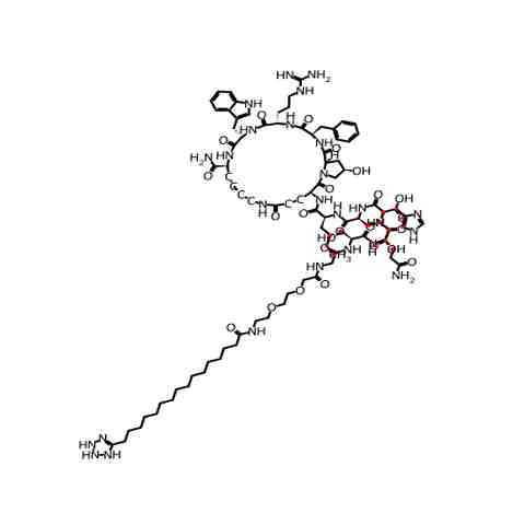 CCCC[C@H](NC(=O)[C@H](CN(CC(=O)O)CC(=O)O)NC(=O)[C@H](Cc1c[nH]cn1)NC(=O)[C@H](CCC(N)=O)NC(=O)[C@H](CO)NC(=O)CNC(=O)COCCOCCNC(=O)CCCCCCCCCCCCCCCC1=NNNN1)C(=O)N[C@H]1CCC(=O)NCCCC[C@@H](C(N)=O)NC(=O)[C@H](Cc2c[nH]c3ccccc23)NC(=O)[C@H](CCCNC(=N)N)NC(=O)[C@@H](Cc2ccccc2)NC(=O)[C@@H]2C[C@@H](O)CN2C1=O